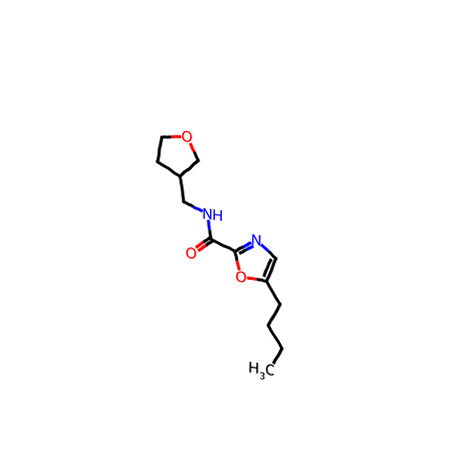 CCCCc1cnc(C(=O)NCC2CCOC2)o1